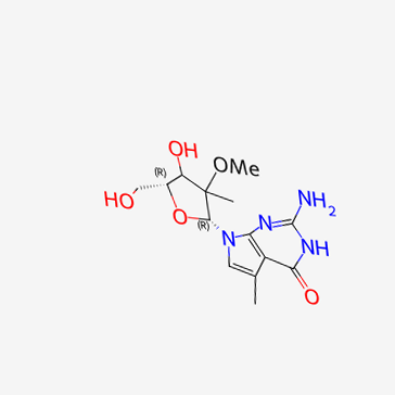 COC1(C)C(O)[C@@H](CO)O[C@H]1n1cc(C)c2c(=O)[nH]c(N)nc21